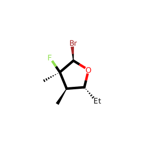 CC[C@H]1O[C@H](Br)[C@](C)(F)[C@@H]1C